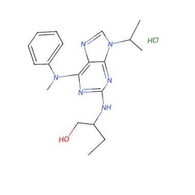 CCC(CO)Nc1nc(N(C)c2ccccc2)c2ncn(C(C)C)c2n1.Cl